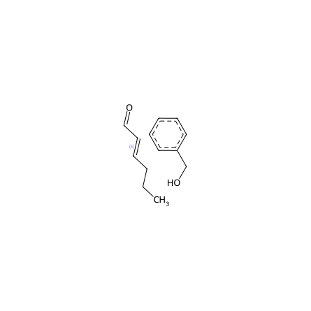 CCC/C=C/C=O.OCc1ccccc1